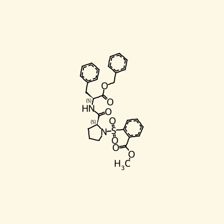 COC(=O)c1ccccc1S(=O)(=O)N1CCC[C@H]1C(=O)N[C@@H](Cc1ccccc1)C(=O)OCc1ccccc1